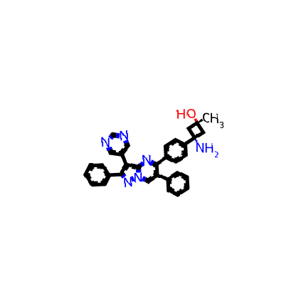 C[C@]1(O)C[C@@](N)(c2ccc(-c3nc4c(-c5cncnc5)c(-c5ccccc5)nn4cc3-c3ccccc3)cc2)C1